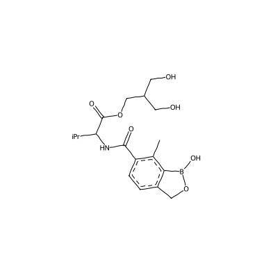 Cc1c(C(=O)NC(C(=O)OCC(CO)CO)C(C)C)ccc2c1B(O)OC2